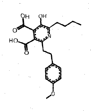 CCCCc1nc(CCc2ccc(OC)cc2)c(C(=O)O)c(C(=O)O)c1O